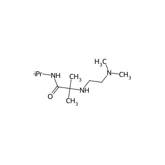 C[C](C)NC(=O)C(C)(C)NCCN(C)C